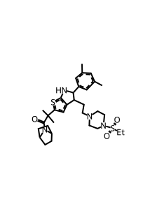 CCS(=O)(=O)N1CCN(CCC2c3cc(C(C)(C)C(=O)N4C5CCC4CC5)sc3NC2c2cc(C)cc(C)c2)CC1